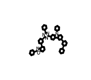 c1ccc(-c2cccc(-c3ccc4c(c3)c3ccc(-c5nc(-c6ccccc6)nc(-c6cccc(-c7cccc8oc(-c9ccccc9)nc78)c6)n5)cc3n4-c3ccccc3)c2)cc1